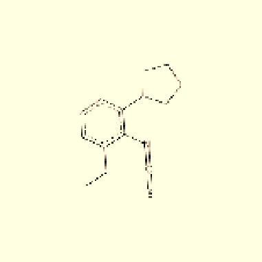 CCc1cccc(C2CCCC2)c1N=C=S